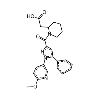 COc1ccc(-n2nc(C(=O)N3CCCCC3CC(=O)O)cc2-c2ccccc2)cn1